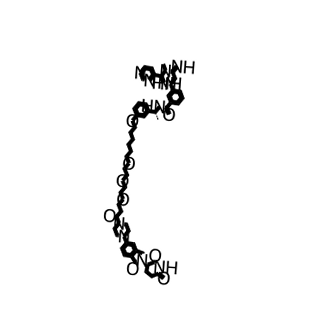 C[C@@H](NC(=O)c1cccc(NCC(=N)N(C)C(=N)c2ccncn2)c1)c1cccc(OCCCCCCOCCOCCOCCC(=O)N2CCN(c3ccc4c(c3)CN(C3CCC(=O)NC3=O)C4=O)CC2)c1